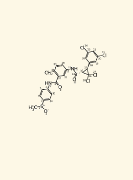 C[S+]([O-])c1ccc(NC(=O)c2cc(NC(=O)[C@@H]3[C@@H](c4cc(Cl)cc(Cl)c4)C3(Cl)Cl)ccc2Cl)cc1